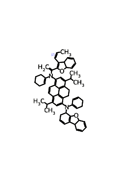 C=C(C1=C(/C=C\C)C2C=CC=CC2O1)N(C1=CCCCC1)c1cc(C(C)C)c2c3c1ccc1c(C(C)C)cc(N(C4=CCCC=C4)C4CC=CC5=C4OC4C=CC=CC54)c(c13)CC2